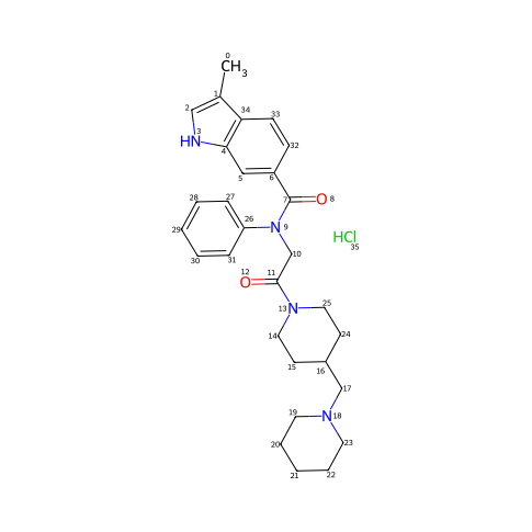 Cc1c[nH]c2cc(C(=O)N(CC(=O)N3CCC(CN4CCCCC4)CC3)c3ccccc3)ccc12.Cl